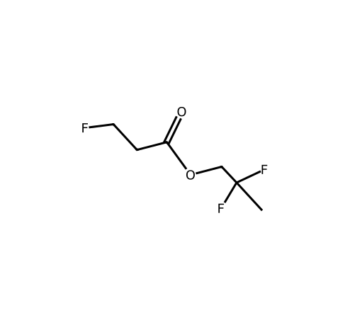 CC(F)(F)COC(=O)CCF